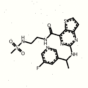 CC(Nc1nc(C(=O)NCCNS(C)(=O)=O)c2sccc2n1)c1cncc(F)c1